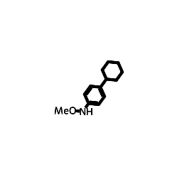 CONc1ccc(C2CCCCC2)cc1